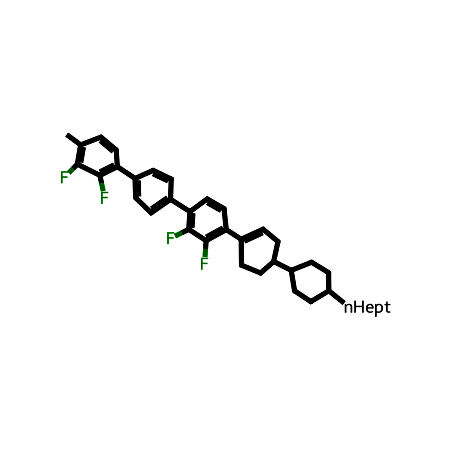 CCCCCCCC1CCC(C2CC=C(c3ccc(-c4ccc(-c5ccc(C)c(F)c5F)cc4)c(F)c3F)CC2)CC1